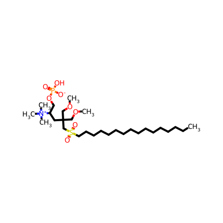 CCCCCCCCCCCCCCCCS(=O)(=O)CC(COC)(COC)CC(COP(=O)([O-])O)[N+](C)(C)C